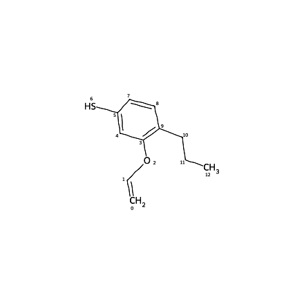 C=COc1cc(S)ccc1CCC